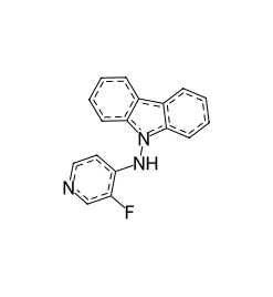 Fc1cnccc1Nn1c2ccccc2c2ccccc21